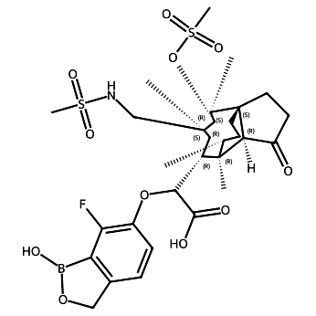 C[C@@H]1CC[C@@]23CCC(=O)[C@H]2[C@@]1(C)[C@H](C(Oc1ccc2c(c1F)B(O)OC2)C(=O)O)C[C@@](C)(CNS(C)(=O)=O)[C@@H](OS(C)(=O)=O)[C@@H]3C